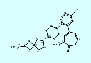 C=C1CC=CC(c2cc(F)cnc2N2CCN([C@@H]3CCC4(C3)CN(C(=O)OCC)C4)CC2)=CC1OC